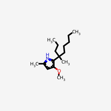 CCCCCC(C)(CCC)c1[nH]c(C)cc1OC